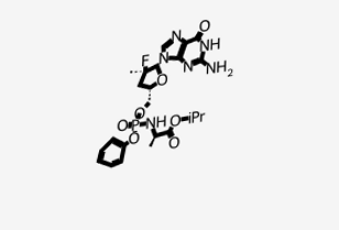 CC(C)OC(=O)[C@@H](C)NP(=O)(OC[C@@H]1C[C@@](C)(F)[C@H](n2cnc3c(=O)[nH]c(N)nc32)O1)Oc1ccccc1